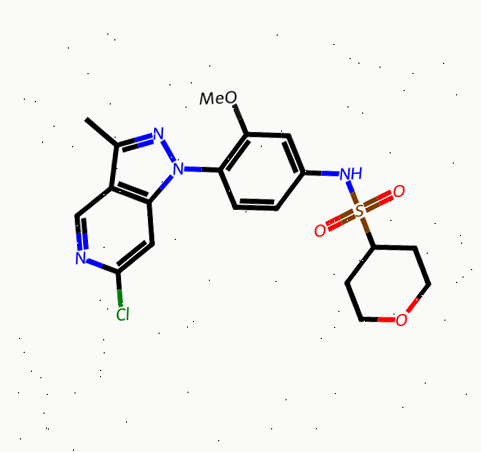 COc1cc(NS(=O)(=O)C2CCOCC2)ccc1-n1nc(C)c2cnc(Cl)cc21